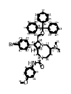 COc1ccc(NC(=O)N2CCC(N(C)C)CN3[C@H](COC(c4ccccc4)(c4ccccc4)c4ccccc4)[C@H](c4ccc(Br)cc4)[C@@H]3C2)cc1